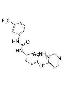 CC(=O)NN1CN=CC=C1Oc1ccc(NC(=O)Nc2cccc(C(F)(F)F)c2)cc1